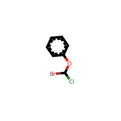 ClC(Br)Oc1cc[c]cc1